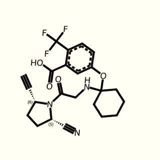 C#C[C@H]1CC[C@@H](C#N)N1C(=O)CNC1(Oc2ccc(C(F)(F)F)c(C(=O)O)c2)CCCCC1